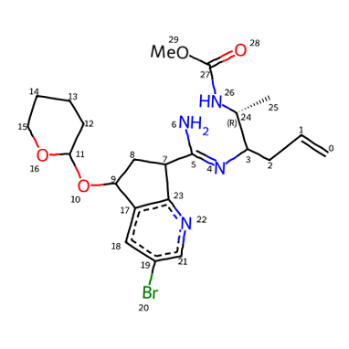 C=CCC(N=C(N)C1CC(OC2CCCCO2)c2cc(Br)cnc21)[C@@H](C)NC(=O)OC